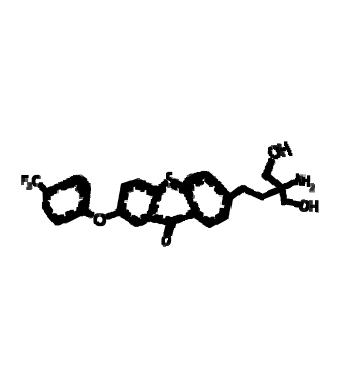 NC(CO)(CO)CCc1ccc2c(=O)c3cc(Oc4ccc(C(F)(F)F)cc4)ccc3sc2c1